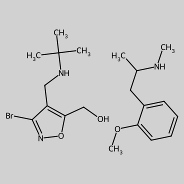 CC(C)(C)NCc1c(Br)noc1CO.CNC(C)Cc1ccccc1OC